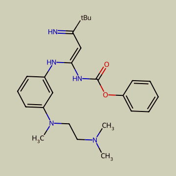 CN(C)CCN(C)c1cccc(N/C(=C\C(=N)C(C)(C)C)NC(=O)Oc2ccccc2)c1